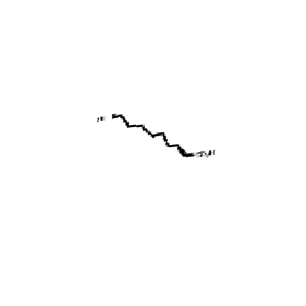 O=CCCCCCC/C=C/C(=O)O